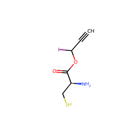 C#CC(I)OC(=O)[C@@H](N)CS